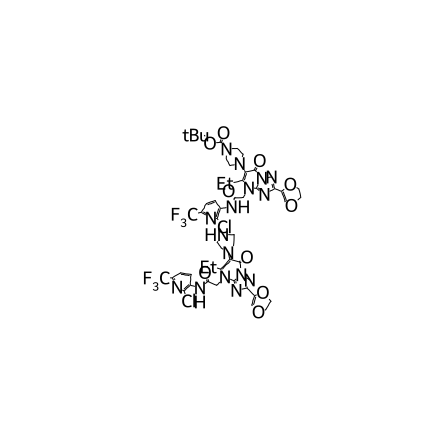 CCc1c(N2CCN(C(=O)OC(C)(C)C)CC2)c(=O)n2nc(C3=COCCO3)nc2n1CC(=O)Nc1ccc(C(F)(F)F)nc1Cl.CCc1c(N2CCNCC2)c(=O)n2nc(C3=COCCO3)nc2n1CC(=O)Nc1ccc(C(F)(F)F)nc1Cl